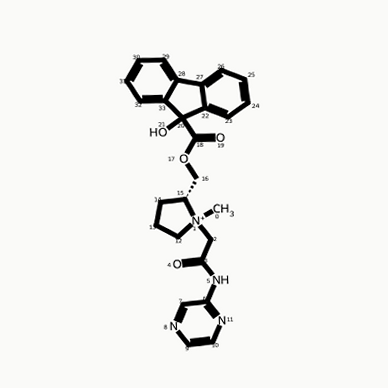 C[N+]1(CC(=O)Nc2cnccn2)CCC[C@@H]1COC(=O)C1(O)c2ccccc2-c2ccccc21